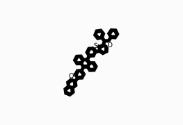 c1ccc(C2Oc3ccc4c(sc5ccc(-c6c7ccccc7c(-c7ccc8c(c7)oc7cc9ccccc9cc78)c7ccccc67)cc54)c3C2c2ccccc2)cc1